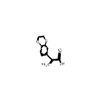 C=C(C(=O)O)c1ccc2c(c1)OCCO2